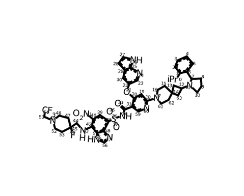 CC(C)c1ccccc1C1CCCN1C1CC2(CCN(c3cc(Oc4cnc5[nH]ccc5c4)c(C(=O)NS(=O)(=O)c4cc([N+](=O)[O-])c(NCC5(F)CCN(CC(F)(F)F)CC5)c5[nH]cnc45)cn3)CC2)C1